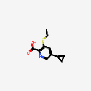 CCSc1cc(C2CC2)cnc1C(=O)O